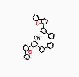 N#Cc1cc(-c2cccc(-c3cccc(-c4cccc(-c5cccc(-c6cccc7c6oc6ccccc67)c5)c4)c3)c2)cc(-c2cccc3c2oc2ccccc23)c1